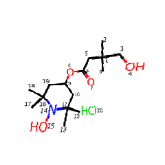 CC(C)(CO)CC(=O)OC1CC(C)(C)N(O)C(C)(C)C1.Cl